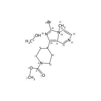 CO.COC(=O)N1CCC(C2=C3C=NC=C[N+]3(C)C(Br)=N2)CC1